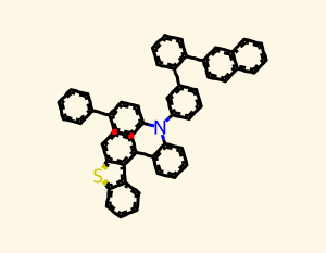 c1ccc(-c2ccc(N(c3cccc(-c4ccccc4-c4ccc5ccccc5c4)c3)c3ccccc3-c3cccc4sc5ccccc5c34)cc2)cc1